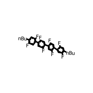 CCCCc1cc(F)c(-c2cc(F)c(-c3cc(F)c(-c4cc(F)c(CCCC)cc4F)cc3F)cc2F)cc1F